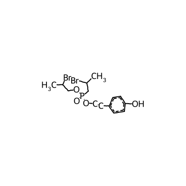 CC(Br)COP(=O)(CC(C)Br)OCCc1ccc(O)cc1